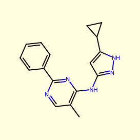 Cc1cnc(-c2ccccc2)nc1Nc1cc(C2CC2)[nH]n1